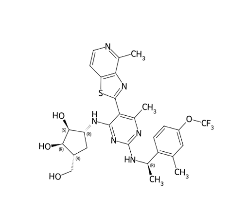 Cc1cc(OC(F)(F)F)ccc1[C@@H](C)Nc1nc(C)c(-c2nc3c(C)nccc3s2)c(N[C@@H]2C[C@H](CO)[C@@H](O)[C@H]2O)n1